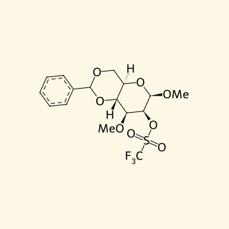 CO[C@@H]1O[C@@H]2COC(c3ccccc3)O[C@H]2[C@H](OC)[C@@H]1OS(=O)(=O)C(F)(F)F